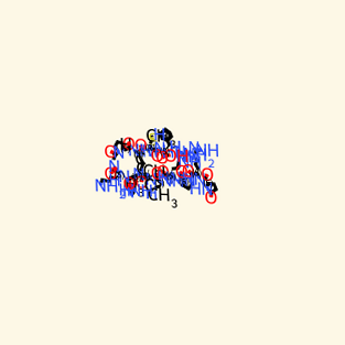 CSC[C@H](NC(=O)[C@@H]1CCCN(C(=O)[C@H](C)NC(=O)[C@H](CC(C)C)NC(=O)[C@H](CCCNC(=N)N)NC(=O)[C@@H]2CCCN2C(=O)[C@H](CCCNC(=N)N)NC(=O)[C@@H]2CCC(=O)N2)[C@@H](Cc2cnc[nH]2)C(=O)N[C@@H](CCCCN)C(=O)NCC(=O)N2CCC[C@H]2C(=O)N1)C(=O)N[C@@H](Cc1ccccc1)C(=O)O